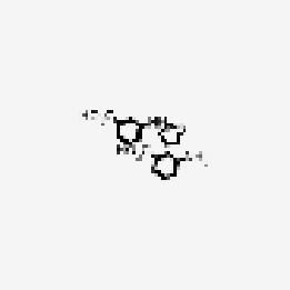 C1CCOC1.Nc1cccc(C(=O)O)c1.Nc1cccc(C(=O)O)c1